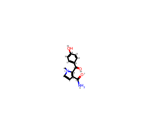 Cn1ccc(C(N)=O)c1C(=O)c1ccc(O)cc1